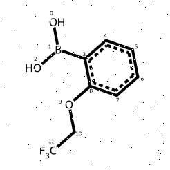 OB(O)c1ccccc1OCC(F)(F)F